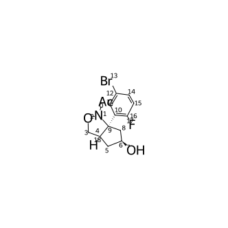 CC(=O)N1OC[C@@H]2C[C@H](O)C[C@@]21c1cc(Br)ccc1F